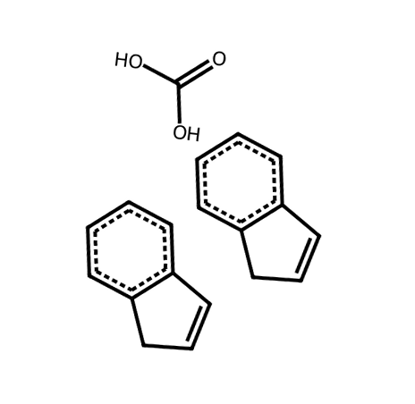 C1=Cc2ccccc2C1.C1=Cc2ccccc2C1.O=C(O)O